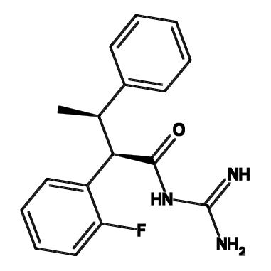 C[C@@H](c1ccccc1)[C@@H](C(=O)NC(=N)N)c1ccccc1F